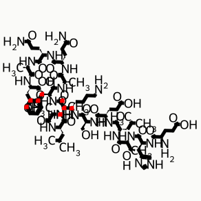 CC(C)C[C@H](NC(=O)[C@H](C)NC(=O)[C@H](CCCCN)NC(=O)[C@H](CO)NC(=O)[C@H](CCC(=O)O)NC(=O)[C@H](CC(C)C)NC(=O)[C@@H](NC(=O)[C@H](Cc1c[nH]cn1)NC(=O)[C@@H](N)CCC(=O)O)[C@@H](C)O)C(=O)N[C@@H](C)C(=O)N[C@@H](Cc1ccccc1)C(=O)N[C@@H](C)C(=O)N[C@@H](CCC(N)=O)C(=O)N[C@@H](CCC(N)=O)C(=O)N[C@@H](C)C(=O)N[C@@H](CC(=O)O)C(=O)O